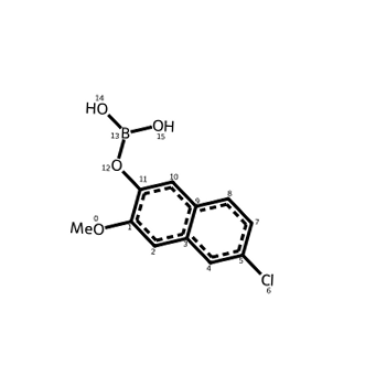 COc1cc2cc(Cl)ccc2cc1OB(O)O